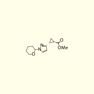 COC(=O)[C@@H]1C[C@H]1c1ccn(C2CCCCO2)n1